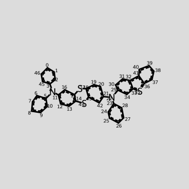 c1ccc(N(c2ccccc2)c2ccc3c(c2)Sc2ccc(N(c4ccccc4)c4ccc5c(c4)sc4ccccc45)cc2S3)cc1